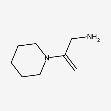 C=C(CN)N1CCCCC1